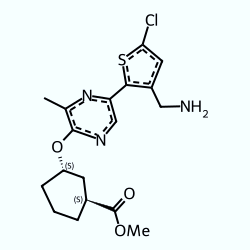 COC(=O)[C@H]1CCC[C@H](Oc2ncc(-c3sc(Cl)cc3CN)nc2C)C1